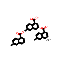 Cc1ccc2c(C(=O)[O-])cccc2c1.Cc1ccc2c(C(=O)[O-])cccc2c1.Cc1ccc2c(C(=O)[O-])cccc2c1.[Al+3]